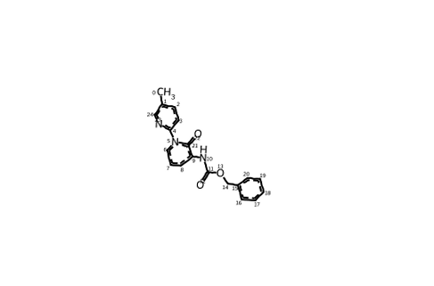 Cc1ccc(-n2cccc(NC(=O)OCc3ccccc3)c2=O)nc1